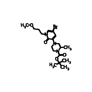 COCCCn1cc(Br)cc(N2CCN(C(=O)OC(C)(C)C)C(C)C2)c1=O